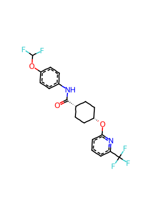 O=C(Nc1ccc(OC(F)F)cc1)[C@H]1CC[C@@H](Oc2cccc(C(F)(F)F)n2)CC1